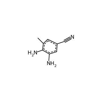 Cc1cc(C#N)cc(N)c1N